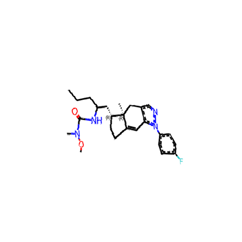 CCCC(C[C@H]1CCC2=Cc3c(cnn3-c3ccc(F)cc3)C[C@@]21C)NC(=O)N(C)OC